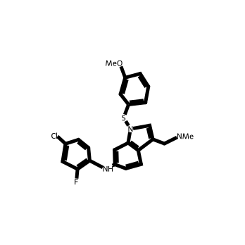 CNCc1cn(Sc2cccc(OC)c2)c2cc(Nc3ccc(Cl)cc3F)ccc12